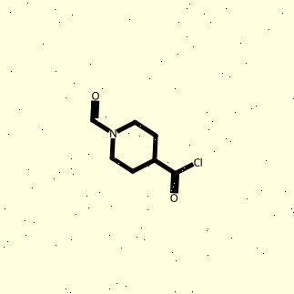 O=CN1CCC(C(=O)Cl)CC1